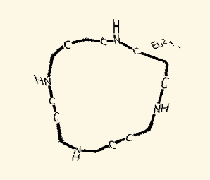 C1CCNCCCNCCCCNCCCNC1.[Eu+2]